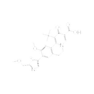 COCc1ncc(-c2cc3c(cc2OC)-c2c(C(C)(C)C)c(=O)c(C(=O)O)cn2CC3)s1